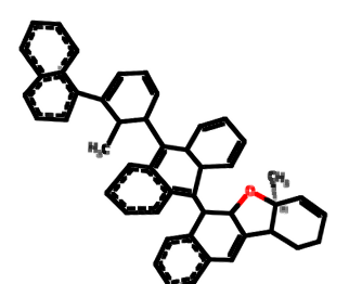 CC1C(c2cccc3ccccc23)=CC=CC1C1=c2ccccc2=C(C2c3ccccc3C=C3C2O[C@@]2(C)C=CCCC32)C2C=CC=CC12